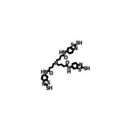 O=C(CCCN(CCCC(=O)Nc1ccc2nc(S)sc2c1)CCCC(=O)Nc1ccc2nc(S)sc2c1)Nc1ccc2nc(S)sc2c1